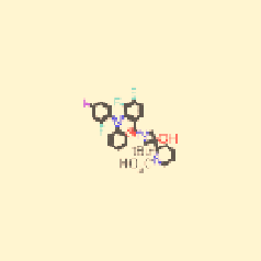 CC(C)(C)[C@]1(C2(O)CN(C(=O)c3ccc(F)c(F)c3N(c3ccccc3)c3ccc(I)cc3F)C2)CCCCN1C(=O)O